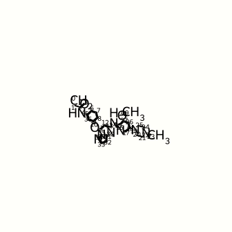 C=CC(=O)Nc1cccc(Oc2cc(Nc3ncc(N4CCN(C)CC4)cc3OC)nc3ccnn23)c1